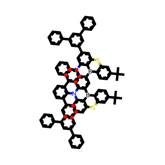 CC(C)(C)c1ccc2c(c1)Sc1cc(-c3cc(-c4ccccc4)cc(-c4ccccc4)c3)cc3c1B2c1cc2c(cc1N3c1ccccc1)N(c1c(-c3ccccc3)cccc1-c1ccccc1)c1cc(-c3cc(-c4ccccc4)cc(-c4ccccc4)c3)cc3c1B2c1ccc(C(C)(C)C)cc1S3